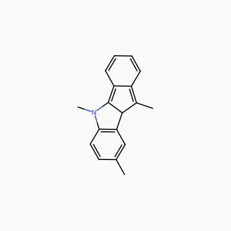 CC1=c2ccccc2=C2C1c1cc(C)ccc1N2C